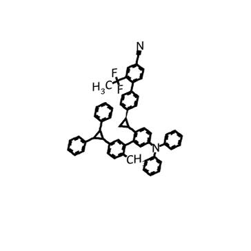 Cc1ccc(C2C(c3ccccc3)C2c2ccccc2)cc1-c1cc(N(c2ccccc2)c2ccccc2)ccc1C1C[C@H]1c1ccc(-c2ccc(C#N)cc2C(C)(F)F)cc1